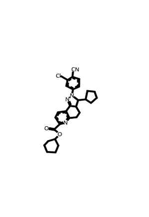 N#Cc1ccc(N2N=C3c4ccc(C(=O)OC5CCCCC5)nc4CCC3C2C2CCCC2)cc1Cl